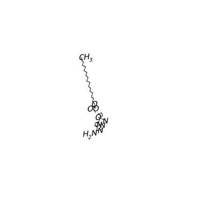 CCCCCCCCCCCCCCCCCCOC(=O)OC[C@@H]1CC[C@](C#N)(c2ccc3c(N)ncnn23)O1